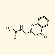 CC(=O)NCN1CC(=O)c2ccccc2S1